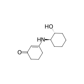 O=C1C=C(N[C@@H]2CCCC[C@H]2O)CCC1